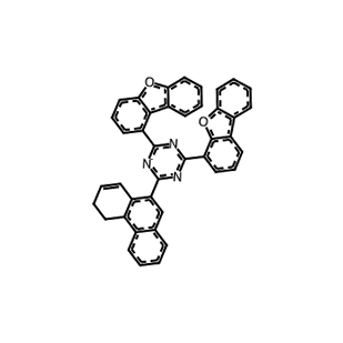 C1=Cc2c(-c3nc(-c4cccc5c4oc4ccccc45)nc(-c4cccc5oc6ccccc6c45)n3)cc3ccccc3c2CC1